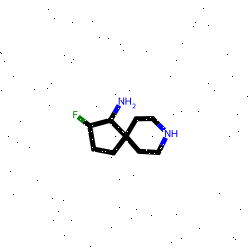 NC1C(F)CCC12CCNCC2